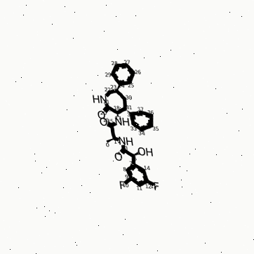 C[C@H](NC(=O)[C@@H](O)c1cc(F)cc(F)c1)C(=O)N[C@@H]1C(=O)NC[C@@H](c2ccccc2)C[C@@H]1c1ccccc1